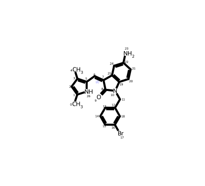 Cc1cc(C)c(/C=C2\C(=O)N(Cc3cccc(Br)c3)c3ccc(N)cc32)[nH]1